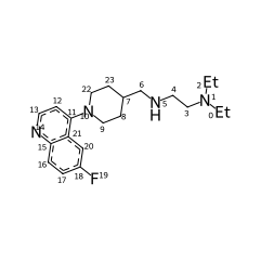 CCN(CC)CCNCC1CCN(c2ccnc3ccc(F)cc23)CC1